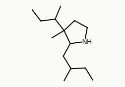 CCC(C)CC1NCCC1(C)C(C)CC